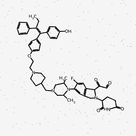 CCC(=C(c1ccc(O)cc1)c1ccc(OCCN2CCC(CN3CC(C)N(c4cc5c(cc4F)C(C(=O)C=O)N(C4CCC(=O)NC4=O)C5)C(C)C3)CC2)cc1)c1ccccc1